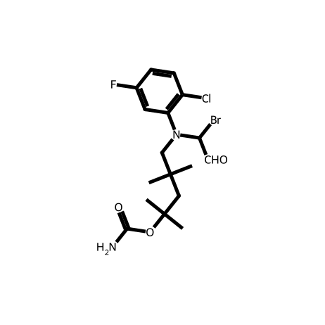 CC(C)(CN(c1cc(F)ccc1Cl)C(Br)C=O)CC(C)(C)OC(N)=O